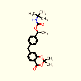 C[C@H](OC(=O)NC(C)(C)C)c1ccc(Cc2ccc3c(c2)OC(C)(C)OC3=O)cc1